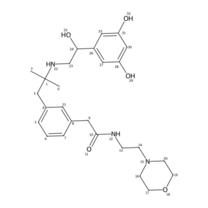 CC(C)(Cc1cccc(CC(=O)NCCN2CCOCC2)c1)NCC(O)c1cc(O)cc(O)c1